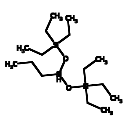 CCC[SiH](O[Si](CC)(CC)CC)O[Si](CC)(CC)CC